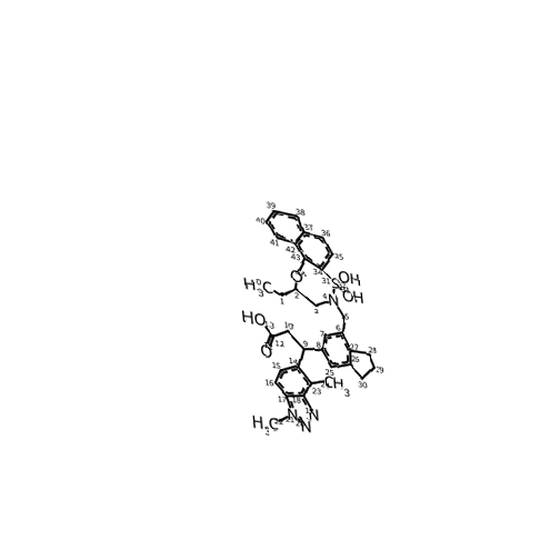 CC[C@@H]1CN(Cc2cc(C(CC(=O)O)c3ccc4c(nnn4C)c3C)cc3c2CCC3)S(O)(O)c2ccc3ccccc3c2O1